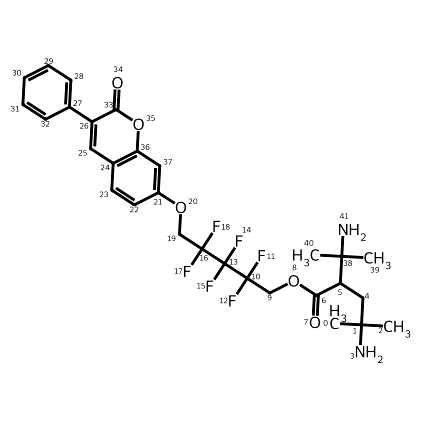 CC(C)(N)CC(C(=O)OCC(F)(F)C(F)(F)C(F)(F)COc1ccc2cc(-c3ccccc3)c(=O)oc2c1)C(C)(C)N